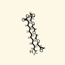 C(COCC1CO1)OCCOCC1CO1.CCCCCCCCCCCC(=O)O